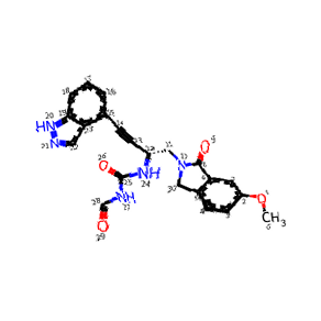 COc1ccc2c(c1)C(=O)N(C[C@@H](C#Cc1cccc3[nH]ncc13)NC(=O)NC=O)C2